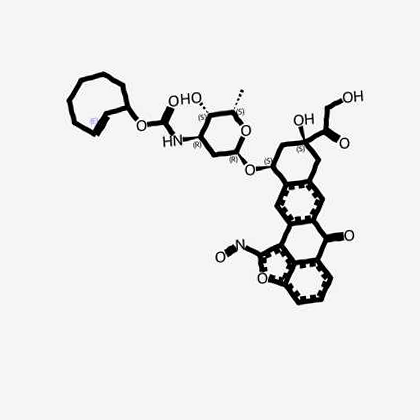 C[C@@H]1O[C@@H](O[C@H]2C[C@](O)(C(=O)CO)Cc3cc4c(cc32)-c2c(N=O)oc3cccc(c23)C4=O)C[C@@H](NC(=O)OC2/C=C/CCCCC2)[C@@H]1O